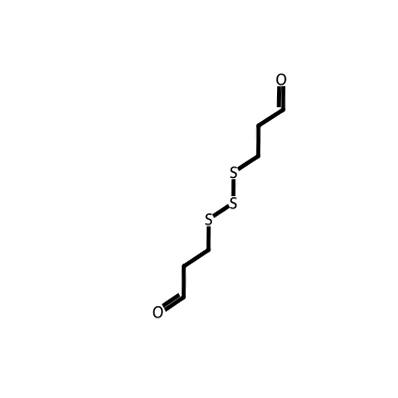 O=CCCSSSCCC=O